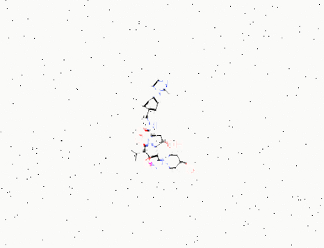 Cc1nccn1-c1ccc([C@H](C)NC(=O)[C@@H]2C[C@@H](O)CN2C(=O)[C@@H](c2cc(N3CCC(C=O)CC3)no2)C(C)C)cc1